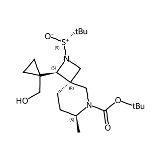 C[C@H]1CC[C@@]2(CN1C(=O)OC(C)(C)C)CN([S@+]([O-])C(C)(C)C)[C@@H]2C1(CO)CC1